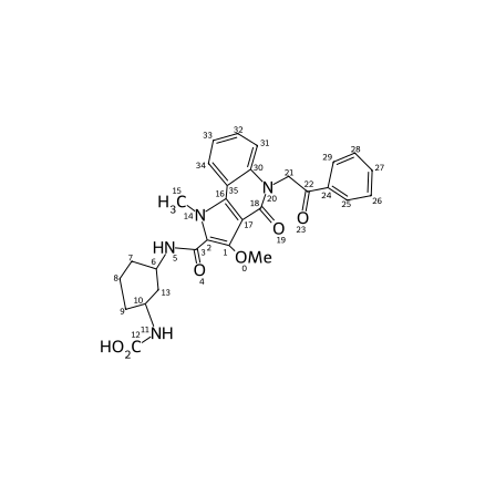 COc1c(C(=O)NC2CCCC(NC(=O)O)C2)n(C)c2c1c(=O)n(CC(=O)c1ccccc1)c1ccccc21